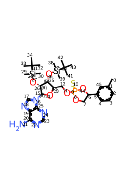 Cc1cccc(C2COP(=S)(OC[C@H]3O[C@@H](n4cnc5c(N)ncnc54)[C@H](O[Si](C)(C)C(C)(C)C)[C@@H]3O[Si](C)(C)C(C)(C)C)O2)c1